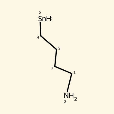 NCCC[CH2][SnH]